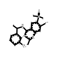 Cc1nc(NC(C)c2cccc(C(F)(F)F)c2)c2cc(P(C)(C)=O)c(F)cc2n1